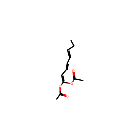 CCC=CC=CC=C(OC(C)=O)OC(C)=O